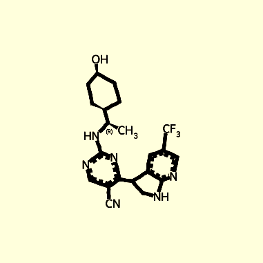 C[C@@H](Nc1ncc(C#N)c(C2CNc3ncc(C(F)(F)F)cc32)n1)[C@H]1CC[C@@H](O)CC1